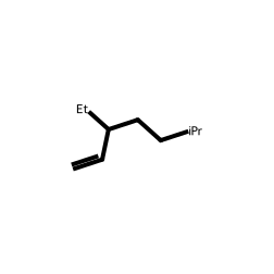 [CH2]C(C)CCC(C=C)CC